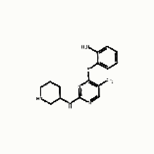 Nc1ccccc1Sc1nc(NC2CCCNC2)ncc1C(F)(F)F